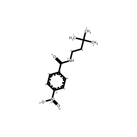 CC(C)(C)CCNC(=O)c1ccc([N+](=O)[O-])cc1